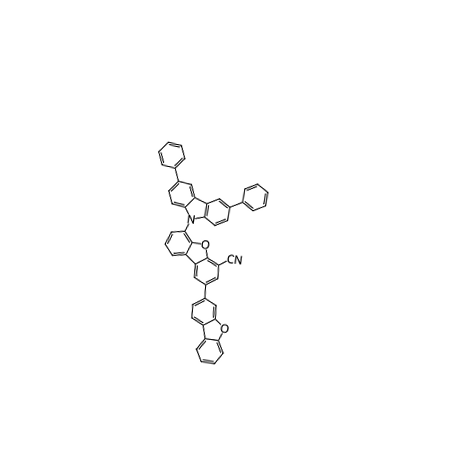 N#Cc1cc(-c2ccc3c(c2)oc2ccccc23)cc2c1oc1c(-n3c4ccc(-c5ccccc5)cc4c4cc(-c5ccccc5)ccc43)cccc12